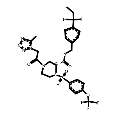 CCC(F)(F)c1ccc(CNC(=O)[C@H]2CN(C(=O)Cn3nnnc3C)CCN2S(=O)(=O)c2ccc(OC(F)(F)F)cc2)cc1